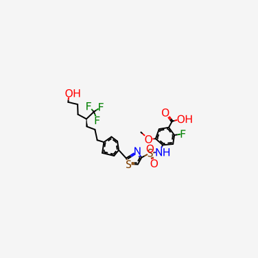 COc1cc(C(=O)O)c(F)cc1NS(=O)(=O)c1csc(-c2ccc(CCC[C@@H](CCCO)C(F)(F)F)cc2)n1